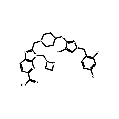 O=C(O)c1ccc2nc(CN3CCC(Oc4nn(Cc5ccc(Cl)cc5F)cc4Cl)CC3)n(C[C@@H]3CCO3)c2n1